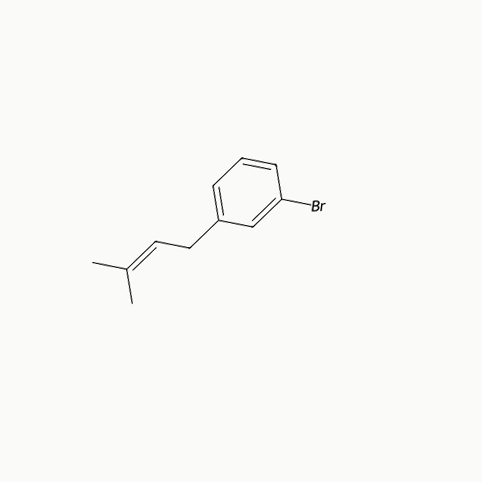 CC(C)=CCc1cccc(Br)c1